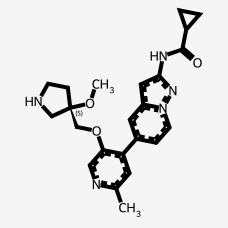 CO[C@@]1(COc2cnc(C)cc2-c2ccn3nc(NC(=O)C4CC4)cc3c2)CCNC1